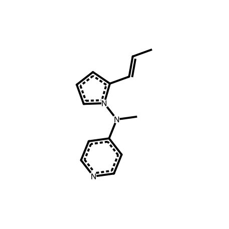 CC=Cc1cccn1N(C)c1ccncc1